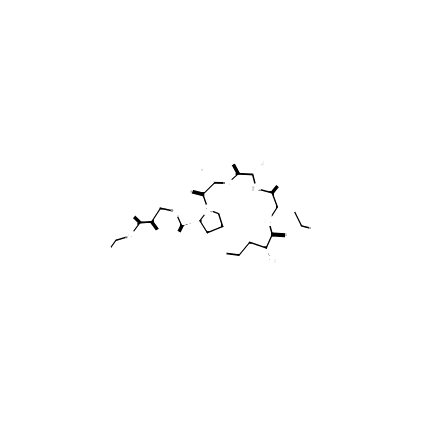 CCC[C@H](NC(=O)[C@@H]1CCCN1C(=O)[C@@H](NC(=O)[C@@H](NC(=O)[C@H](CCC(=O)O)NC(=O)[C@H](CCC(=O)O)NC(C)=O)C(C)C)C(C)(C)C)C(=O)C(=O)NCC(=O)O